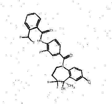 C[C@@]1(O)c2cc(Cl)ccc2N(C(=O)c2ccc(NC(=O)c3ccccc3C(F)F)c(F)c2)CCC1(F)F